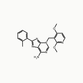 COc1ccnc(OC)c1Cn1cnc(N)c2nc(-c3ccccc3C)nc1-2